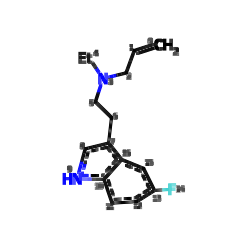 C=CCN(CC)CCc1c[nH]c2ccc(F)cc12